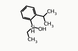 CC[SiH](O)c1ccccc1C(C)C